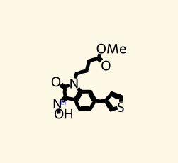 COC(=O)CCCN1C(=O)/C(=N/O)c2ccc(-c3ccsc3)cc21